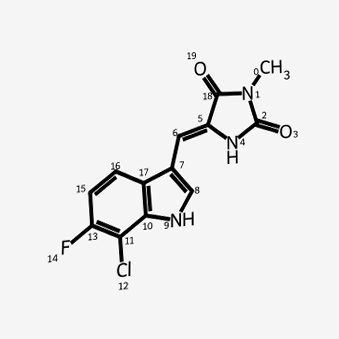 CN1C(=O)N/C(=C\c2c[nH]c3c(Cl)c(F)ccc23)C1=O